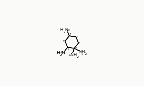 NC1CCC(N)(N)C(N)C1